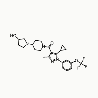 Cc1nn(-c2cccc(OC(F)(F)F)c2)c(C2CC2)c1C(=O)N1CCC(N2CC[C@@H](O)C2)CC1